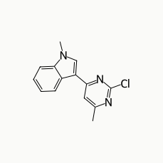 Cc1cc(-c2cn(C)c3ccccc23)nc(Cl)n1